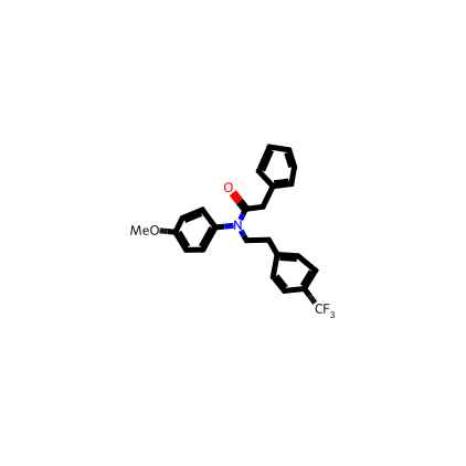 COc1ccc(N(CCc2ccc(C(F)(F)F)cc2)C(=O)Cc2ccccc2)cc1